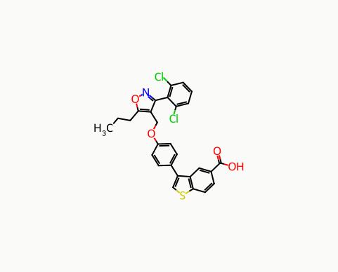 CCCc1onc(-c2c(Cl)cccc2Cl)c1COc1ccc(-c2csc3ccc(C(=O)O)cc23)cc1